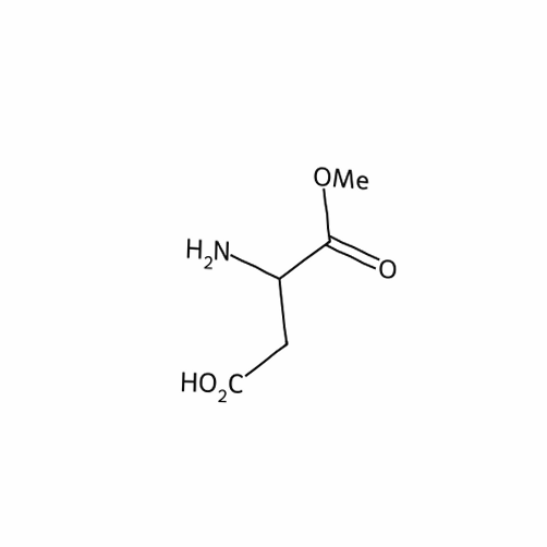 COC(=O)C(N)CC(=O)O